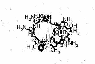 CCC(C)CCC(O)CC(=O)N[C@@H](CCN)C(=O)N[C@H](C(=O)N[C@@H](CCN)C(=O)N[C@H]1CCNC(=O)[C@H]([C@@H](C)O)NC(=O)[C@H](CCN)NC(=O)[C@H](CCCN)NC(=O)[C@H](CC(C)C)NC(=O)[C@@H](Cc2ccccc2)NC(=O)[C@H](CCN)NC1=O)[C@@H](C)O